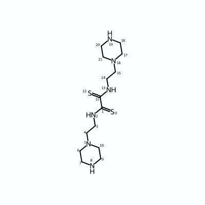 S=C(NCCN1CCNCC1)C(=S)NCCN1CCNCC1